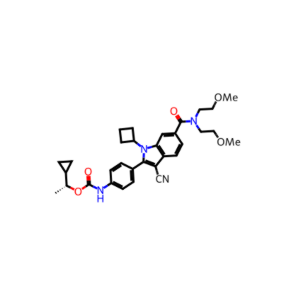 COCCN(CCOC)C(=O)c1ccc2c(C#N)c(-c3ccc(NC(=O)O[C@H](C)C4CC4)cc3)n(C3CCC3)c2c1